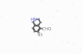 CCc1ccc2c(c1C=O)CCNC2